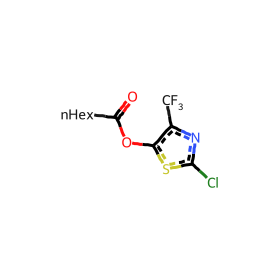 CCCCCCC(=O)Oc1sc(Cl)nc1C(F)(F)F